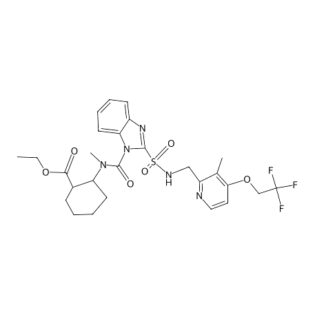 CCOC(=O)C1CCCCC1N(C)C(=O)n1c(S(=O)(=O)NCc2nccc(OCC(F)(F)F)c2C)nc2ccccc21